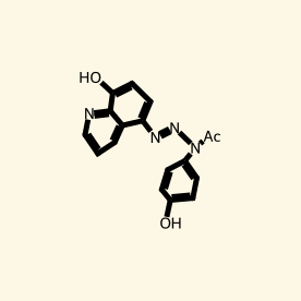 CC(=O)N(N=Nc1ccc(O)c2ncccc12)c1ccc(O)cc1